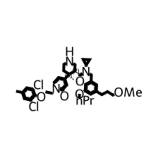 CCCOc1cc(CCCOC)cc(CN(C(=O)[C@H]2CNCC[C@]2(C)c2ccn(CCOc3c(Cl)cc(C)cc3Cl)c(=O)c2)C2CC2)c1